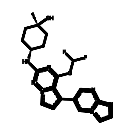 C[C@]1(O)CC[C@H](Nc2nc(OC(F)F)c3c(-c4cnc5nccn5c4)ccn3n2)CC1